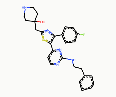 OC1(Cc2nc(-c3ccc(F)cc3)c(-c3ccnc(NCCc4ccccc4)n3)s2)CCNCC1